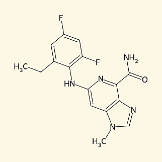 CCc1cc(F)cc(F)c1Nc1cc2c(ncn2C)c(C(N)=O)n1